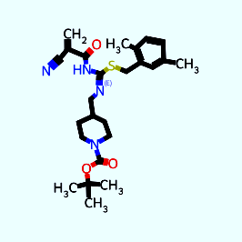 C=C(C#N)C(=O)N/C(=N\CC1CCN(C(=O)OC(C)(C)C)CC1)SCc1cc(C)ccc1C